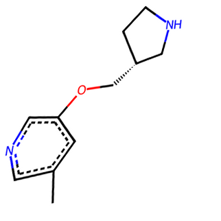 Cc1cncc(OC[C@@H]2CCNC2)c1